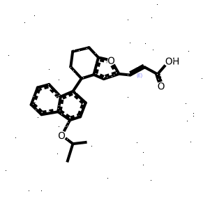 CC(C)Oc1ccc(C2CCCc3oc(/C=C/C(=O)O)cc32)c2ccccc12